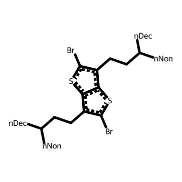 CCCCCCCCCCC(CCCCCCCCC)CCc1c(Br)sc2c(CCC(CCCCCCCCC)CCCCCCCCCC)c(Br)sc12